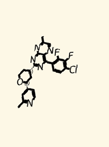 Cc1cc([C@H]2C[C@@H](c3nc(-c4ccc(Cl)c(F)c4F)c4ncc(C)nc4n3)CCO2)ccn1